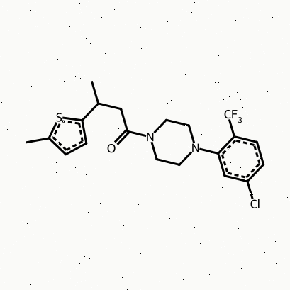 Cc1ccc(C(C)CC(=O)N2CCN(c3cc(Cl)ccc3C(F)(F)F)CC2)s1